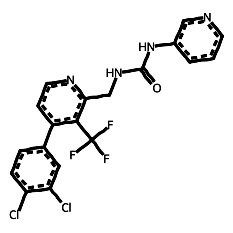 O=C(NCc1nccc(-c2ccc(Cl)c(Cl)c2)c1C(F)(F)F)Nc1cccnc1